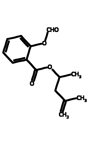 C=C(C)CC(C)OC(=O)c1ccccc1OC=O